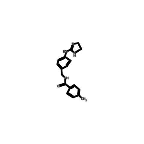 Cc1ccc(C(=O)NCc2ccc(NC3=NCCN3)cc2)cc1